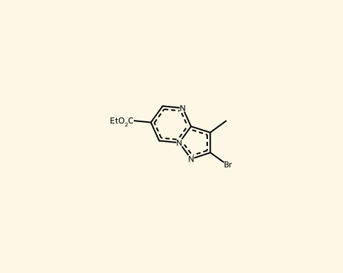 CCOC(=O)c1cnc2c(C)c(Br)nn2c1